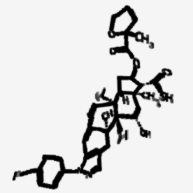 CC1(C(=O)OC2C[C@H]3[C@@H]4CCC5=Cc6c(cnn6-c6ccc(F)cc6)C[C@]5(C)[C@H]4[C@@H](O)C[C@]3(C)[C@H]2C(=O)S)CCCO1